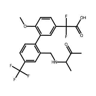 COc1ccc(C(F)(F)C(=O)O)cc1-c1ccc(C(F)(F)F)cc1CNC(C)C(C)=O